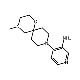 CN1CCOC2(CCN(c3ccncc3N)CC2)C1